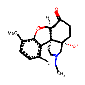 CCc1ccc(OC)c2c1[C@]13CCN(C)C[C@]1(O)CCC(=O)[C@@H]3O2